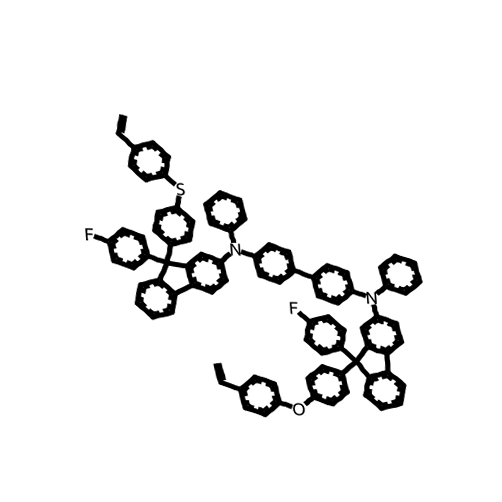 C=Cc1ccc(Oc2ccc(C3(c4ccc(F)cc4)c4ccccc4-c4ccc(N(c5ccccc5)c5ccc(-c6ccc(N(c7ccccc7)c7ccc8c(c7)C(c7ccc(F)cc7)(c7ccc(Sc9ccc(C=C)cc9)cc7)c7ccccc7-8)cc6)cc5)cc43)cc2)cc1